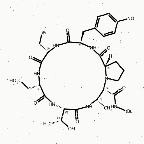 CC(C)C[C@@H]1NC(=O)[C@@H](Cc2ccc(N=O)cc2)NC(=O)[C@@H]2CCCN2[C@H](C(=O)NC(C)(C)C)[C@H](C)NC(=O)[C@H]([C@@H](C)O)NC(=O)[C@H](CC(=O)O)NC1=O